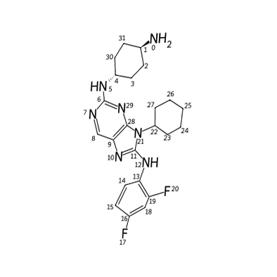 N[C@H]1CC[C@H](Nc2ncc3nc(Nc4ccc(F)cc4F)n(C4CCCCC4)c3n2)CC1